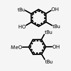 CC(C)(C)c1cc(O)c(C(C)(C)C)cc1O.COc1cc(C(C)(C)C)c(O)c(C(C)(C)C)c1